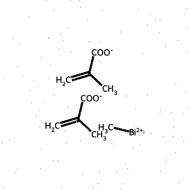 C=C(C)C(=O)[O-].C=C(C)C(=O)[O-].[CH3][Bi+2]